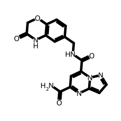 NC(=O)c1cc(C(=O)NCc2ccc3c(c2)NC(=O)CO3)n2nccc2n1